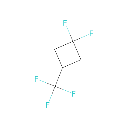 FC1(F)CC(C(F)(F)F)C1